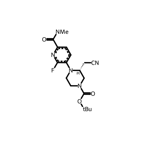 CNC(=O)c1ccc(N2CCN(C(=O)OC(C)(C)C)C[C@H]2CC#N)c(F)n1